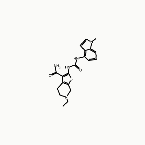 CCN1CCc2c(sc(NC(=O)Nc3cccc4c3ccn4C)c2C(N)=O)C1